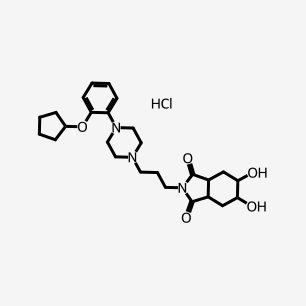 Cl.O=C1C2CC(O)C(O)CC2C(=O)N1CCCN1CCN(c2ccccc2OC2CCCC2)CC1